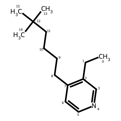 CCc1cnccc1CCCCC(C)(C)C